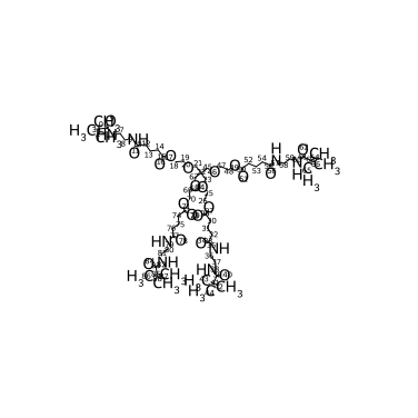 CC(C)(C)C(=O)NCCNC(=O)CCCC(=O)OCCOCC(COCCOC(=O)CCCC(=O)NCCNC(=O)C(C)(C)C)(COCCOC(=O)CCCC(=O)NCCNC(=O)C(C)(C)C)COCCOC(=O)CCCC(=O)NCCNC(=O)C(C)(C)C